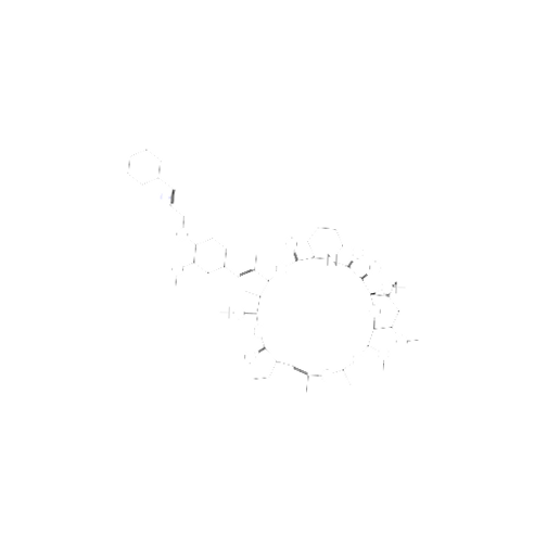 CCC1/C=C(\C)CC(C)CC(OC)C2OC(O)(C(=O)C(=O)N3CCCCC3C(=O)OC(C(C)=CC3CCC(OC/C=C/C4CCCCC4)C(OC)C3)C(C)C(O)CC1=O)C(C)CC2OC